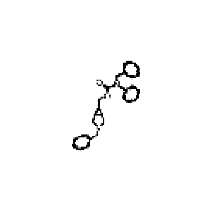 O=C(OCC1C2CN(Cc3ccccc3)CC12)N(Cc1ccccc1)c1ccccc1